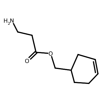 NCCC(=O)OCC1CC=CCC1